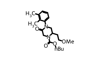 CCCCOC(=O)N1CC(=O)N(c2cccc(C)c2C)CC1CCOC